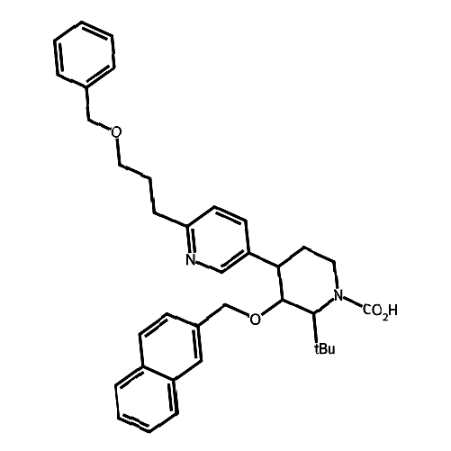 CC(C)(C)C1C(OCc2ccc3ccccc3c2)C(c2ccc(CCCOCc3ccccc3)nc2)CCN1C(=O)O